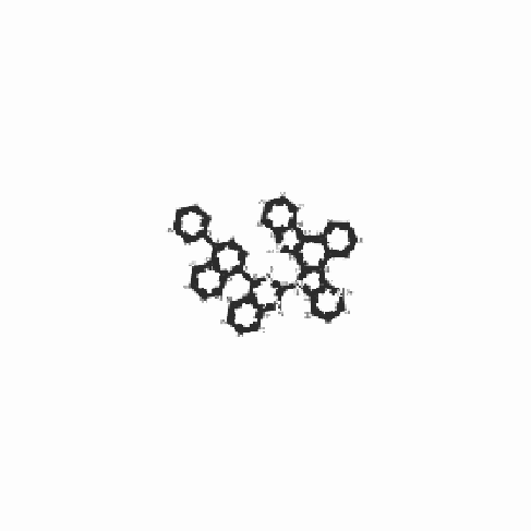 c1ccc(-c2ccc(-c3nc(-n4c5cccnc5c5c6ccccc6c6c7ccccc7sc6c54)nc4ccccc34)c3ccccc23)cc1